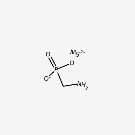 NCP(=O)([O-])[O-].[Mg+2]